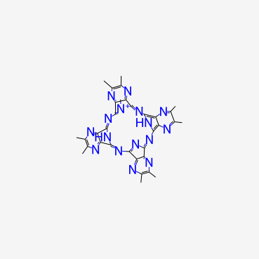 Cc1nc2c(nc1C)-c1nc-2nc2[nH]c(nc3[n+](C)c(nc4[nH]c(n1)c1nc(C)c(C)nc41)-c1nc(C)c(C)nc1-3)c1nc(C)c(C)nc21